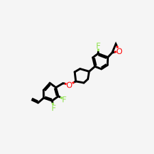 C=Cc1ccc(COC2CCC(c3ccc(C4CO4)c(F)c3)CC2)c(F)c1F